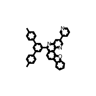 Cc1ccc(-c2cc(-c3ccc(C)cc3)cc(-c3nc4cc(-c5cccnc5)cnc4c4c3ccc3c5ccccc5oc34)c2)cc1